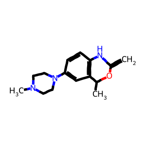 C=C1Nc2ccc(N3CCN(C)CC3)cc2C(C)O1